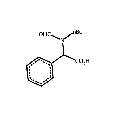 CCCCN(C=O)C(C(=O)O)c1ccccc1